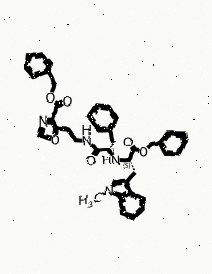 Cn1cc(C[C@H](N[C@@H](Cc2ccccc2)C(=O)NCCc2ocnc2C(=O)OCc2ccccc2)C(=O)OCc2ccccc2)c2ccccc21